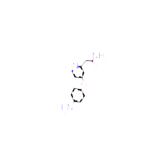 NC(=O)Cc1cc(Oc2ccc(N)cc2)ccn1